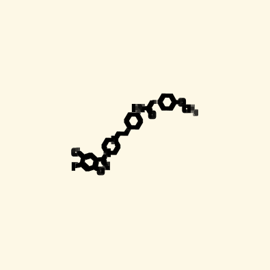 CO[C@H]1CC[C@H](CC(=O)N[C@H]2CC[C@H](CCN3CCN(c4noc5cc(F)c(Cl)cc45)CC3)CC2)CC1